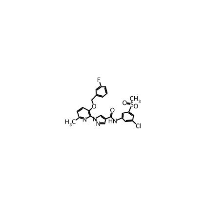 Cc1ccc(OCc2cccc(F)c2)c(-n2cc(C(=O)Nc3cc(Cl)cc(S(C)(=O)=O)c3)cn2)n1